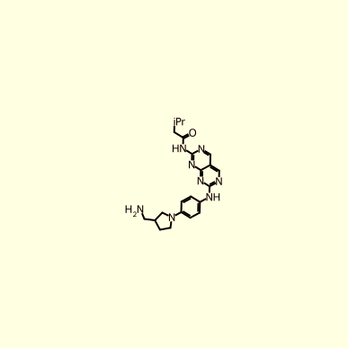 CC(C)CC(=O)Nc1ncc2cnc(Nc3ccc(N4CCC(CN)C4)cc3)nc2n1